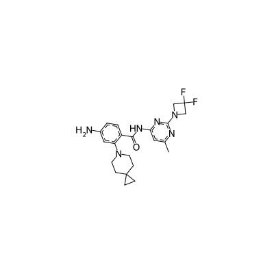 Cc1cc(NC(=O)c2ccc(N)cc2N2CCC3(CC2)CC3)nc(N2CC(F)(F)C2)n1